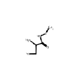 CSNC(=O)C(N)CS